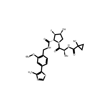 Cc1ncsc1-c1ccc(CNC(=O)[C@@H]2[C@@H](F)[C@@H](O)CN2C(=O)[C@@H](NC(=O)C2(C#N)CC2)C(C)(C)C)c(OC(C)(C)C)c1